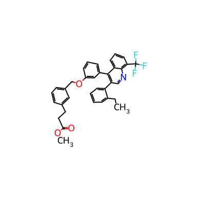 CCc1ccccc1-c1cnc2c(C(F)(F)F)cccc2c1-c1cccc(OCc2cccc(CCC(=O)OC)c2)c1